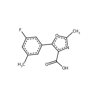 Cc1cc(F)cc(-c2oc(C)nc2C(=O)O)c1